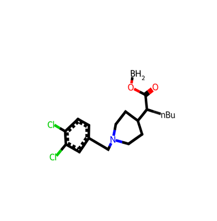 BOC(=O)C(CCCC)C1CCN(Cc2ccc(Cl)c(Cl)c2)CC1